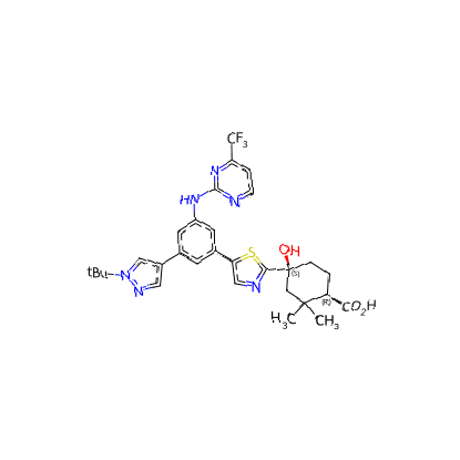 CC1(C)C[C@](O)(c2ncc(-c3cc(Nc4nccc(C(F)(F)F)n4)cc(-c4cnn(C(C)(C)C)c4)c3)s2)CC[C@H]1C(=O)O